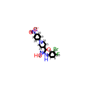 O=C(/C(=N/O)Nc1ccc(F)c(Br)c1)C1CCN(c2ccc([N+](=O)[O-])cc2)CC1